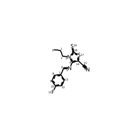 CCCn1c(N=Cc2ccc(F)cc2)c(C#N)sc1=S